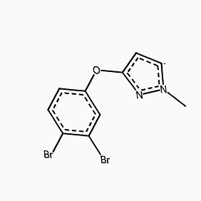 Cn1[c]cc(Oc2ccc(Br)c(Br)c2)n1